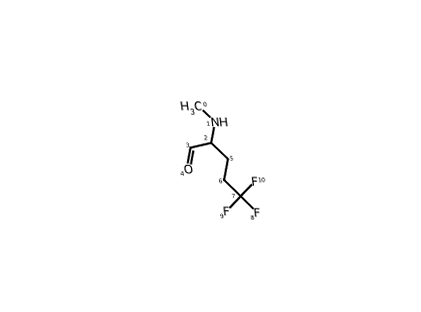 CNC(C=O)CCC(F)(F)F